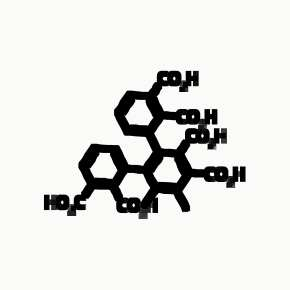 Cc1c(C)c(-c2cccc(C(=O)O)c2C(=O)O)c(-c2cccc(C(=O)O)c2C(=O)O)c(C(=O)O)c1C(=O)O